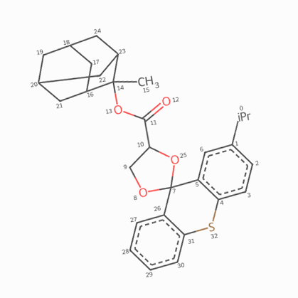 CC(C)c1ccc2c(c1)C1(OCC(C(=O)OC3(C)C4CC5CC(C4)CC3C5)O1)c1ccccc1S2